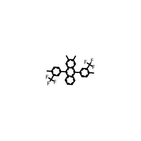 Cc1cc2c(-c3ccc(C)c(C(F)(F)F)c3)c3ccccc3c(-c3ccc(C)c(C(F)(F)F)c3)c2cc1C